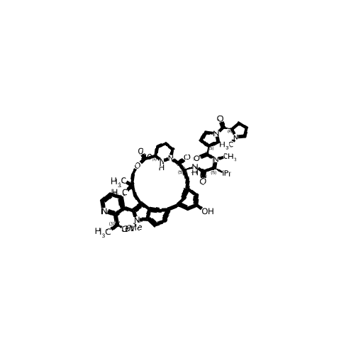 CCn1c(-c2cccnc2[C@H](C)OC)c2c3cc(ccc31)-c1cc(O)cc(c1)C[C@H](NC(=O)[C@H](C(C)C)N(C)C(=O)[C@H]1CCN(C(=O)[C@H]3CCCN3C)C1)C(=O)N1CCC[C@@](O)(N1)C(=O)OCC(C)(C)C2